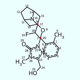 Cc1ccccc1COC1CC2CCC(C1)N2CC(F)Cn1nc(CO)n(C)c1=O